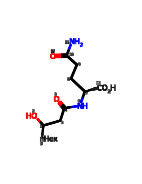 CCCCCCC(O)CC(=O)N[C@@H](CCC(N)=O)C(=O)O